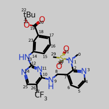 CN(c1ncccc1CNc1nc(Nc2cccc(C(=O)OC(C)(C)C)c2)ncc1C(F)(F)F)S(C)(=O)=O